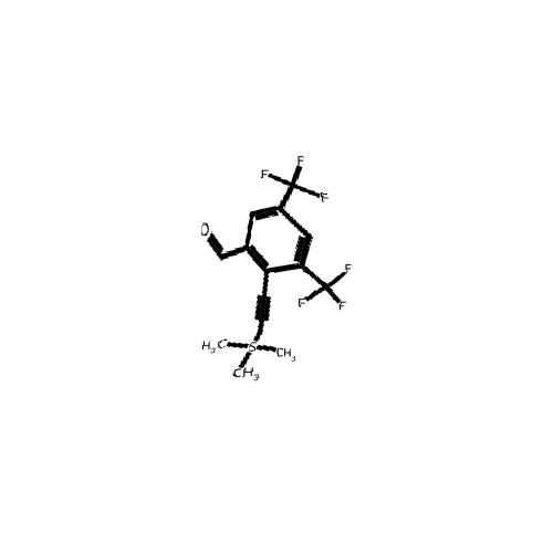 CS(C)(C)C#Cc1c(C=O)cc(C(F)(F)F)cc1C(F)(F)F